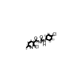 Cc1ccc(C(=O)NC(=O)Nc2ccc(Cl)cc2)c(Cl)n1